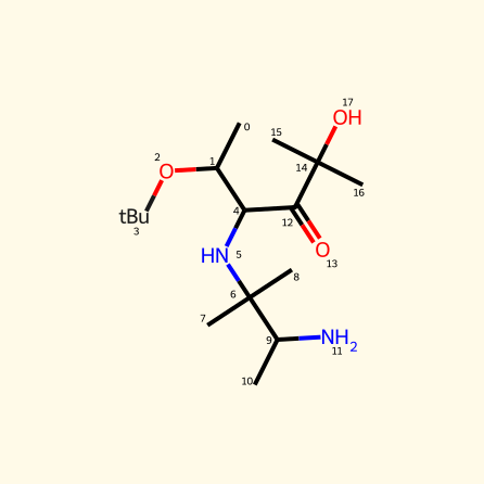 CC(OC(C)(C)C)C(NC(C)(C)C(C)N)C(=O)C(C)(C)O